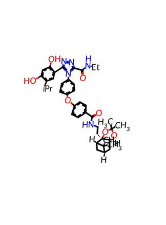 CCNC(=O)c1nnc(-c2cc(C(C)C)c(O)cc2O)n1-c1ccc(Oc2ccc(C(=O)NCC[C@]34OC(C)(C)O[C@H]3C[C@@H]3C[C@H]4C3(C)C)cc2)cc1